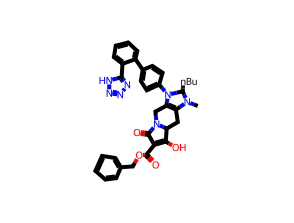 CCCCC1N(C)C2=C(CN3C(=O)C(C(=O)OCc4ccccc4)=C(O)C3C2)N1c1ccc(-c2ccccc2-c2nnn[nH]2)cc1